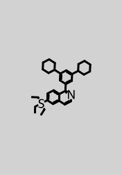 CCS(CC)(CC)c1ccc2c(-c3cc(C4CCCCC4)cc(C4CCCCC4)c3)nccc2c1